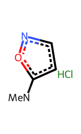 CNc1ccno1.Cl